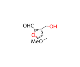 COC.O=Cc1occc1CO